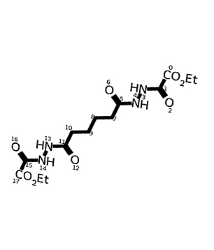 CCOC(=O)C(=O)NNC(=O)CCCCC(=O)NNC(=O)C(=O)OCC